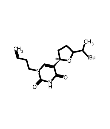 C=CCCn1cc([C@H]2CCC(C(C)C(C)CC)O2)c(=O)[nH]c1=O